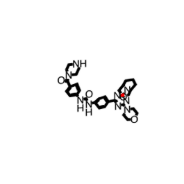 O=C(Nc1ccc(C(=O)N2CCNCC2)cc1)Nc1ccc(-c2nc(N3CCOCC3)nc(N3C4CCCC3COC4)n2)cc1